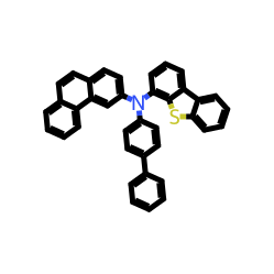 c1ccc(-c2ccc(N(c3ccc4ccc5ccccc5c4c3)c3cccc4c3sc3ccccc34)cc2)cc1